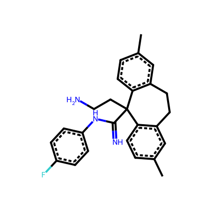 Cc1ccc2c(c1)CCc1cc(C)ccc1C2(CCN)C(=N)Nc1ccc(F)cc1